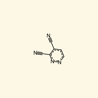 N#Cc1ccnnc1C#N